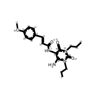 CCCn1c(N)c(NC(=O)C=Cc2ccc(OC)cc2)c(=O)n(CCC)c1=O